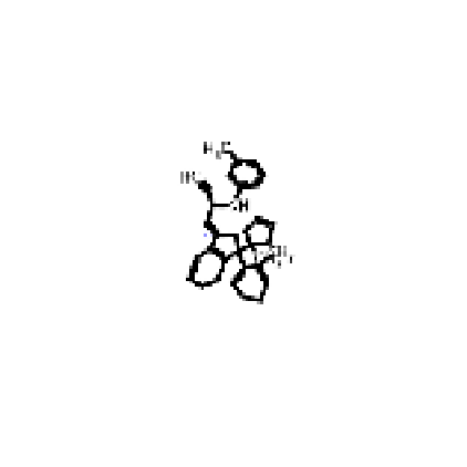 C#CC(/C=C1\CC(C2=CCCC=C2C)(C2(C)CC=CC2)C2=C1C=CCC2)Nc1cccc(C)c1